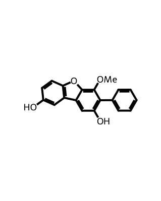 COc1c(-c2ccccc2)c(O)cc2c1oc1ccc(O)cc12